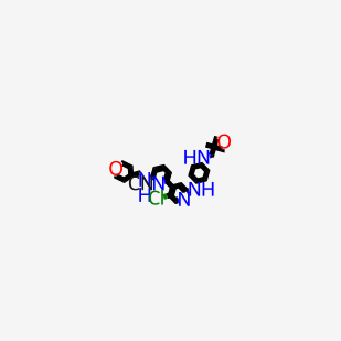 CC1(CN[C@H]2CC[C@H](Nc3cc(-c4cccc(NCC5(C#N)CCOCC5)n4)c(Cl)cn3)CC2)COC1